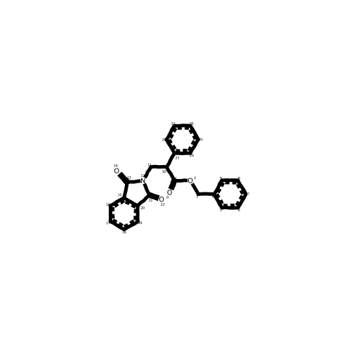 O=C(OCc1ccccc1)C(CN1C(=O)c2ccccc2C1=O)c1ccccc1